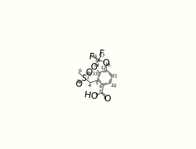 CS(=O)(=O)Cc1c(C(=O)O)ccc2c1OC(F)(F)O2